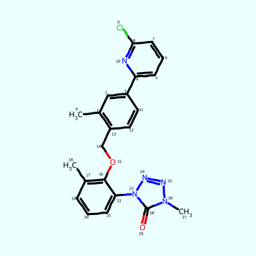 Cc1cc(-c2cccc(Cl)n2)ccc1COc1c(C)cccc1-n1nnn(C)c1=O